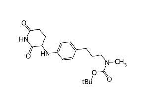 CN(CCCc1ccc(NC2CCC(=O)NC2=O)cc1)C(=O)OC(C)(C)C